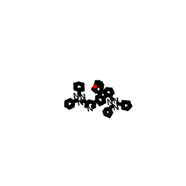 c1ccc(-c2nc(-c3ccccc3)nc(-c3cncc(-c4ccc5c(c4)C4(c6cccc(-c7nc(-c8ccccc8)nc(-c8ccccc8)n7)c6-5)C5CC6CC(C5)CC4C6)c3)n2)cc1